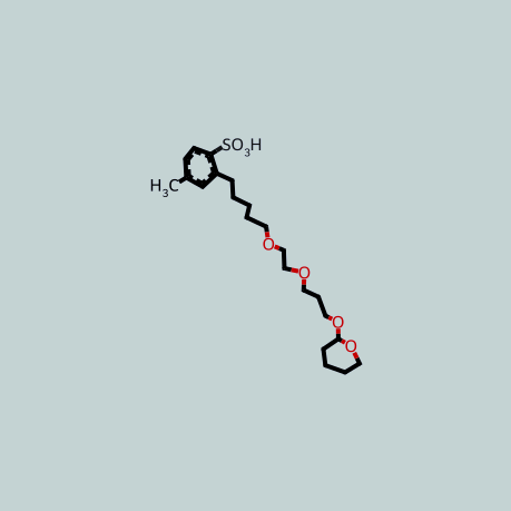 Cc1ccc(S(=O)(=O)O)c(CCCCCOCCOCCCOC2CCCCO2)c1